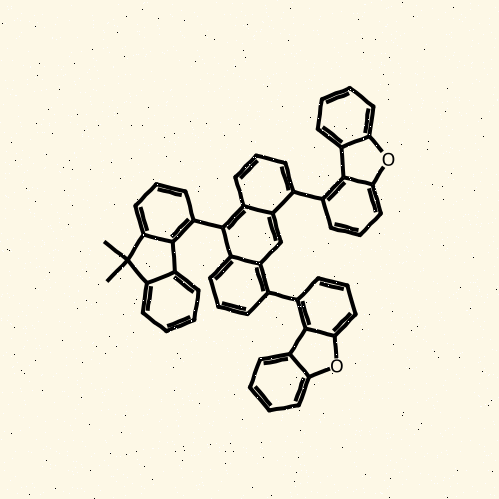 CC1(C)c2ccccc2-c2c(-c3c4cccc(-c5cccc6oc7ccccc7c56)c4cc4c(-c5cccc6oc7ccccc7c56)cccc34)cccc21